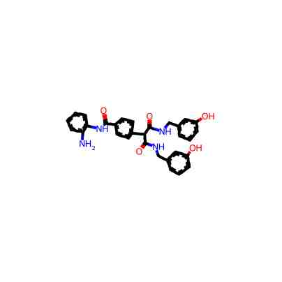 Nc1ccccc1NC(=O)c1ccc(C(C(=O)NCc2cccc(O)c2)C(=O)NCc2cccc(O)c2)cc1